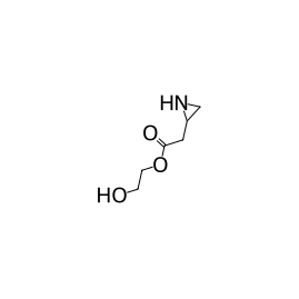 O=C(CC1CN1)OCCO